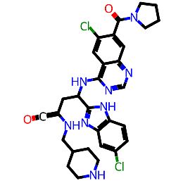 O=C=C(CC(Nc1ncnc2cc(C(=O)N3CCCC3)c(Cl)cc12)c1nc2cc(Cl)ccc2[nH]1)NCC1CCNCC1